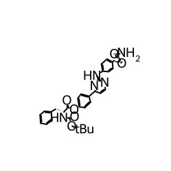 CC(C)(C)OC(=O)N[C@H](Cc1ccccc1)C(=O)Oc1ccc(-c2ccnc(Nc3ccc(S(N)(=O)=O)cc3)n2)cc1